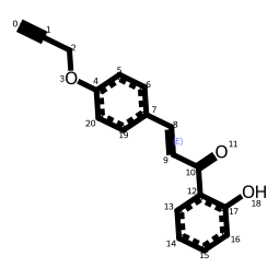 C#CCOc1ccc(/C=C/C(=O)c2ccccc2O)cc1